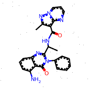 Cc1nn2cccnc2c1C(=O)NC(C)c1nc2cccc(N)c2c(=O)n1-c1ccccc1